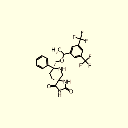 CC(OC[C@@]1(c2ccccc2)CC[C@]2(CN1)NC(=O)NC2=O)c1cc(C(F)(F)F)cc(C(F)(F)F)c1